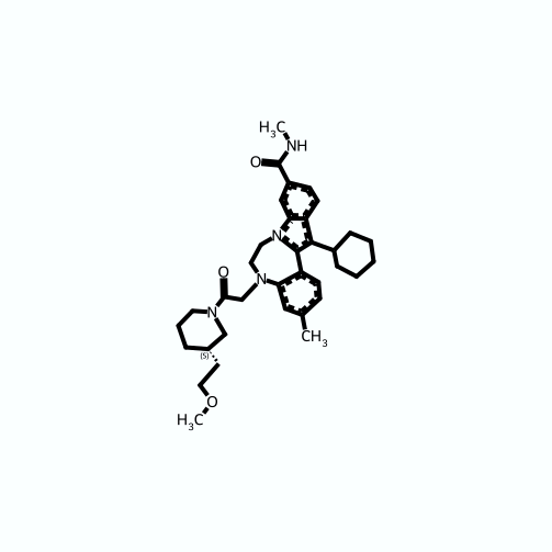 CNC(=O)c1ccc2c(C3CCCCC3)c3n(c2c1)CCN(CC(=O)N1CCC[C@@H](CCOC)C1)c1cc(C)ccc1-3